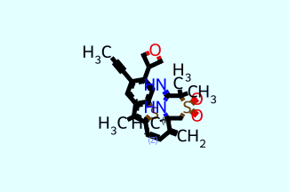 C=C(/C=C\c1sc2cc(C3COC3)c(C#CC)cc2c1C)[C@]1(C)CS(=O)(=O)C(C)(C)C(=N)N1